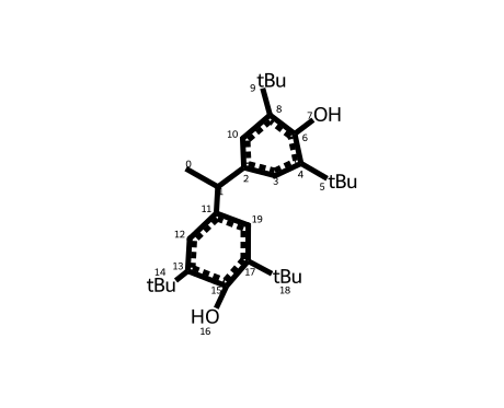 CC(c1cc(C(C)(C)C)c(O)c(C(C)(C)C)c1)c1cc(C(C)(C)C)c(O)c(C(C)(C)C)c1